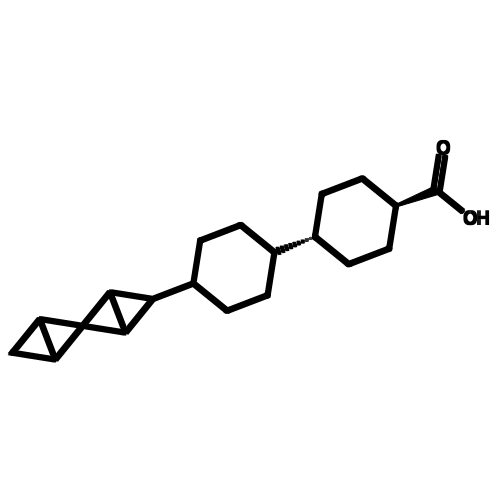 O=C(O)[C@H]1CC[C@H](C2CCC(C3C4C3C43C4CC43)CC2)CC1